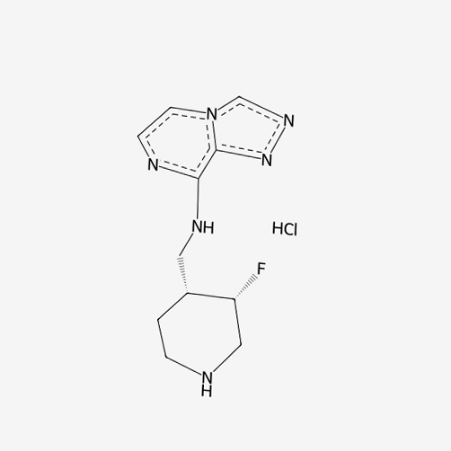 Cl.F[C@@H]1CNCC[C@@H]1CNc1nccn2cnnc12